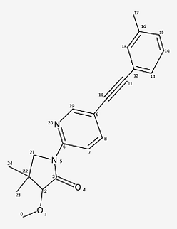 COC1C(=O)N(c2ccc(C#Cc3cccc(C)c3)cn2)CC1(C)C